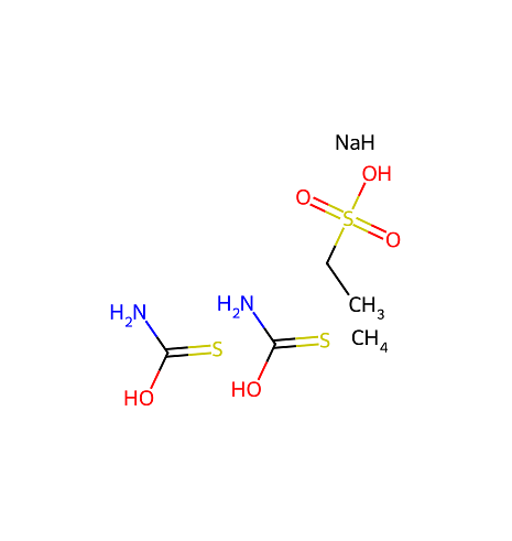 C.CCS(=O)(=O)O.NC(O)=S.NC(O)=S.[NaH]